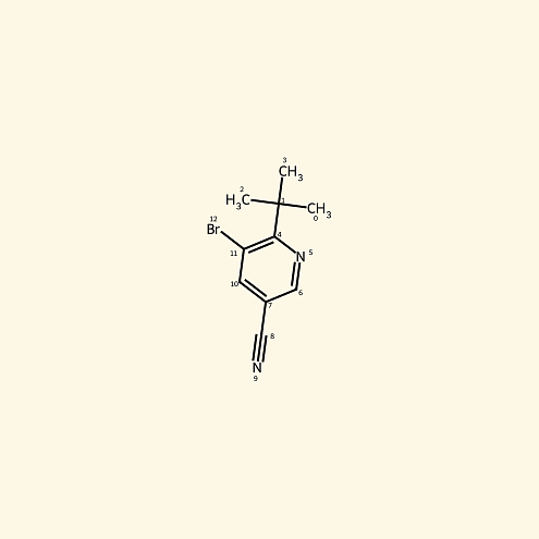 CC(C)(C)c1ncc(C#N)cc1Br